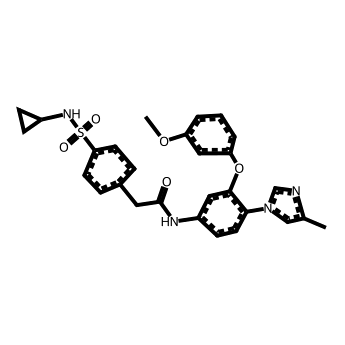 COc1cccc(Oc2cc(NC(=O)Cc3ccc(S(=O)(=O)NC4CC4)cc3)ccc2-n2cnc(C)c2)c1